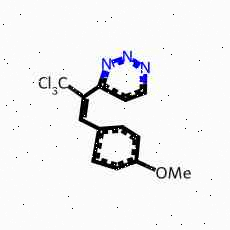 COc1ccc(C=C(c2ccnnn2)C(Cl)(Cl)Cl)cc1